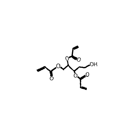 C=CC(=O)OCC(OC(=O)C=C)C(CCO)OC(=O)C=C